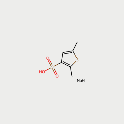 Cc1cc(S(=O)(=O)O)c(C)s1.[NaH]